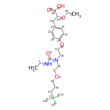 CCNC(=O)N(CCOCCCC(F)(F)F)CCOc1ccc(CC(OCC)C(=O)O)cc1